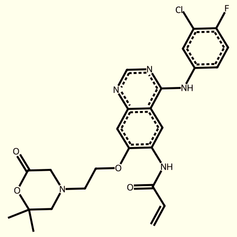 C=CC(=O)Nc1cc2c(Nc3ccc(F)c(Cl)c3)ncnc2cc1OCCN1CC(=O)OC(C)(C)C1